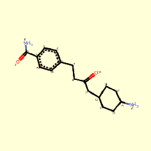 NC(=O)c1ccc(CCC(=O)CC2CCC(N)CC2)cc1